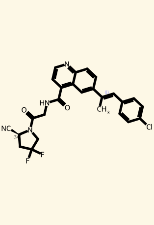 C/C(=C\c1ccc(Cl)cc1)c1ccc2nccc(C(=O)NCC(=O)N3CC(F)(F)C[C@H]3C#N)c2c1